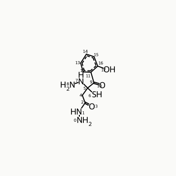 NNC(=O)CC(S)(NN)C(=O)c1ccccc1O